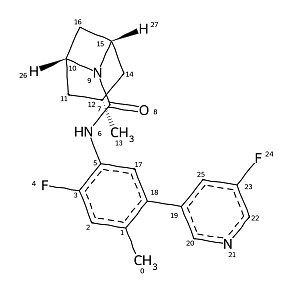 Cc1cc(F)c(NC(=O)N2[C@@H]3C[C@@H](C)C[C@H]2C3)cc1-c1cncc(F)c1